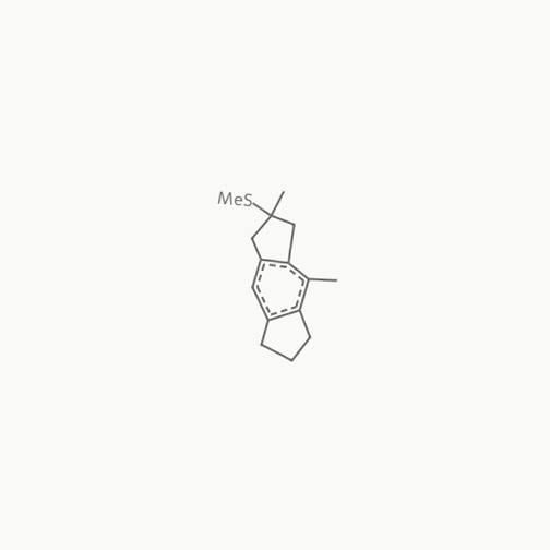 CSC1(C)Cc2cc3c(c(C)c2C1)CCC3